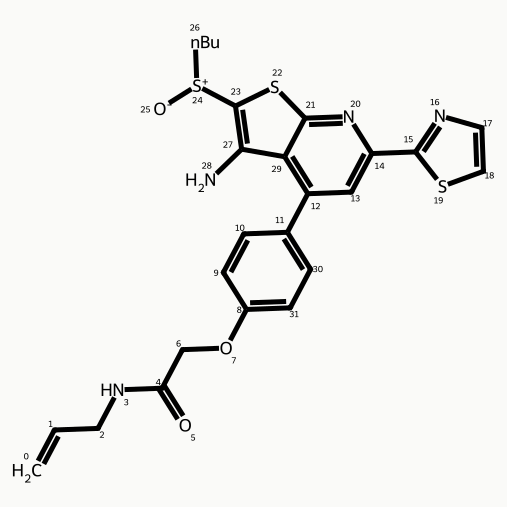 C=CCNC(=O)COc1ccc(-c2cc(-c3nccs3)nc3sc([S+]([O-])CCCC)c(N)c23)cc1